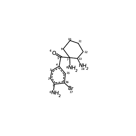 Nc1ccc(C(=O)C2(N)CCCCC2N)cc1Br